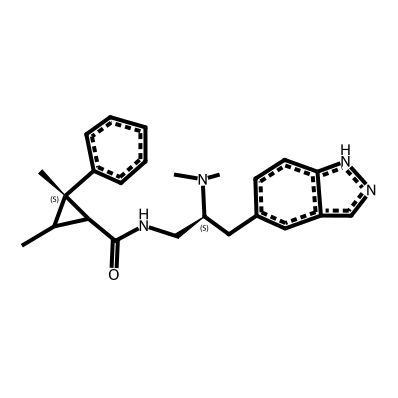 CC1C(C(=O)NC[C@H](Cc2ccc3[nH]ncc3c2)N(C)C)[C@@]1(C)c1ccccc1